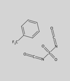 FC(F)(F)c1ccccc1.O=C=NS(=O)(=O)N=C=O